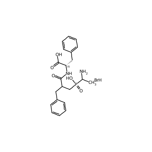 Br.CC(N)P(=O)(O)CC(Cc1ccccc1)C(=O)N[C@@H](Cc1ccccc1)C(=O)O